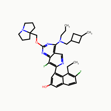 CCCN(CC1CC(C)C1)c1nc(OCC23CCCN2CCC3)nc2c(F)c(-c3cc(O)cc4ccc(F)c(CC)c34)ncc12